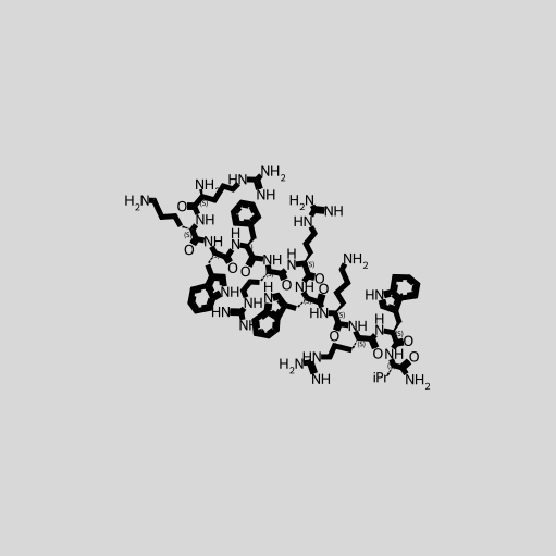 CC(C)[C@H](NC(=O)[C@H](Cc1c[nH]c2ccccc12)NC(=O)[C@H](CCCNC(=N)N)NC(=O)[C@H](CCCCN)NC(=O)[C@H](Cc1c[nH]c2ccccc12)NC(=O)[C@H](CCCNC(=N)N)NC(=O)[C@H](CCCNC(=N)N)NC(=O)[C@H](Cc1ccccc1)NC(=O)[C@H](Cc1c[nH]c2ccccc12)NC(=O)[C@H](CCCCN)NC(=O)[C@@H](N)CCCNC(=N)N)C(N)=O